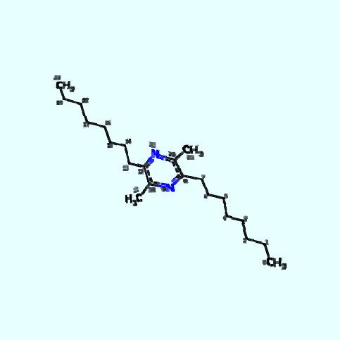 CCCCCCCCc1nc(C)c(CCCCCCCC)nc1C